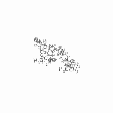 CC(C)Oc1cc2c(OCC3CCC(=O)N3)ncc(-c3cnn(C4CCN(C(=O)OC(C)(C)C)CC4)c3)c2cc1C(N)=O